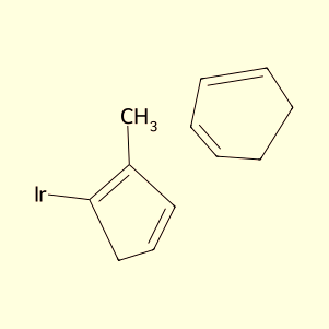 C1=CCCC=C1.CC1=[C]([Ir])CC=C1